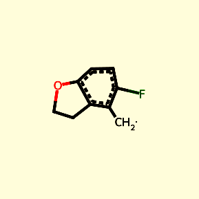 [CH2]c1c(F)ccc2c1CCO2